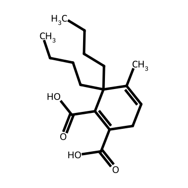 CCCCC1(CCCC)C(C)=CCC(C(=O)O)=C1C(=O)O